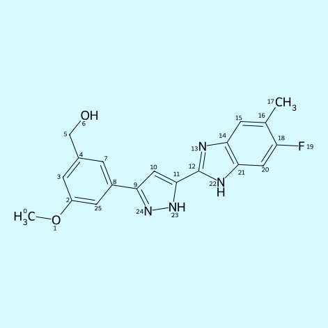 COc1cc(CO)cc(-c2cc(-c3nc4cc(C)c(F)cc4[nH]3)[nH]n2)c1